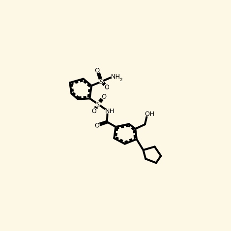 NS(=O)(=O)c1ccccc1S(=O)(=O)NC(=O)c1ccc(C2CCCC2)c(CO)c1